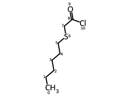 CCCCCCSCC(=O)Cl